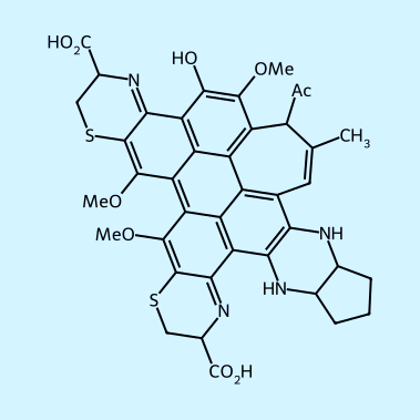 COc1c(O)c2c3c(c(OC)c4c5c(OC)c6c(c7c8c(c9c(c(c1C(C(C)=O)C(C)=C9)c24)c75)NC1CCCC1N8)=NC(C(=O)O)CS6)SCC(C(=O)O)N=3